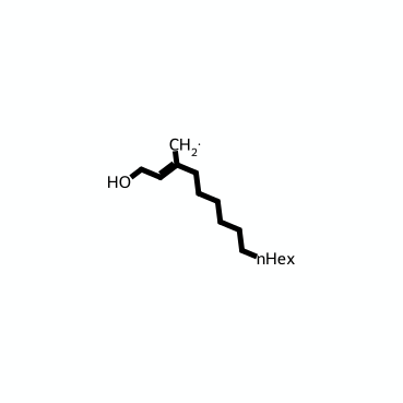 [CH2]C(=CCO)CCCCCCCCCCCC